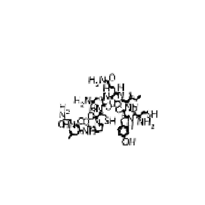 CC[C@H](C)[C@H](NC(=O)[C@H](Cc1ccc(O)cc1)NC(=O)[C@@H](N)CS)C(=O)N[C@H](CCC(N)=O)C(=O)N[C@@H](CC(N)=O)C(=O)N[C@@H](CS)C(=O)N1CCC[C@H]1C(=O)N[C@@H](CC(C)C)C(=O)NCC(N)=O